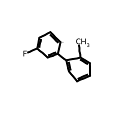 Cc1ccccc1-c1[c]ccc(F)c1